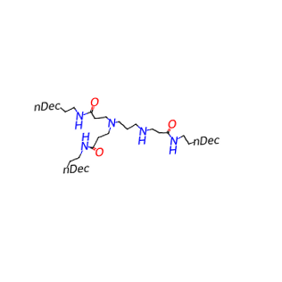 CCCCCCCCCCCCNC(=O)CCNCCCN(CCC(=O)NCCCCCCCCCCCC)CCC(=O)NCCCCCCCCCCCC